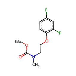 CN(CCOc1ccc(F)cc1F)C(=O)OC(C)(C)C